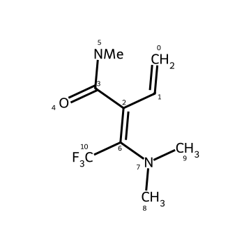 C=C/C(C(=O)NC)=C(\N(C)C)C(F)(F)F